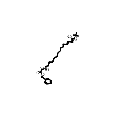 C[C@H](NCCCCCCCCCCCCCCC(=O)OC(C)(C)C)C(=O)OCc1ccccc1